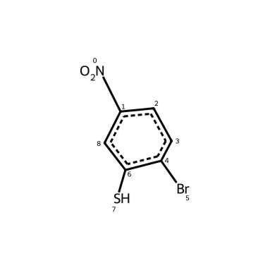 O=[N+]([O-])c1ccc(Br)c(S)c1